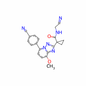 COc1ccc(-c2ccc(C#N)cc2)n2nc(C3(C(=O)NCC#N)CC3)nc12